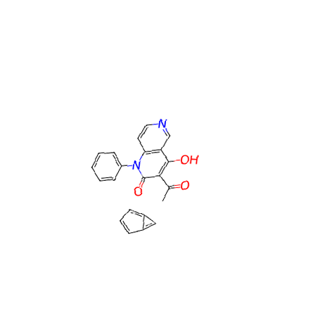 CC(=O)c1c(O)c2cnccc2n(-c2ccccc2)c1=O.c1cc2cc-2c1